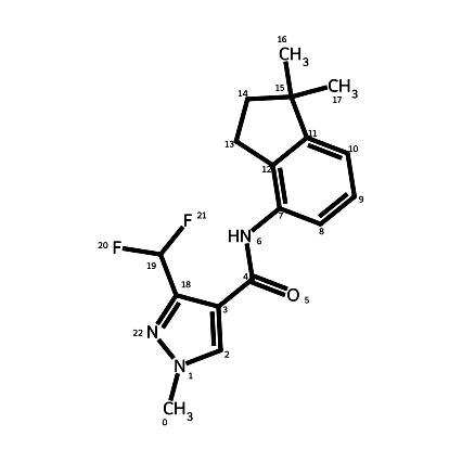 Cn1cc(C(=O)Nc2cccc3c2CCC3(C)C)c(C(F)F)n1